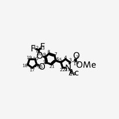 COC(=O)[C@H]1CC(c2ccc(OC(F)F)c(OC3CCCC3)c2)CN1C(C)=O